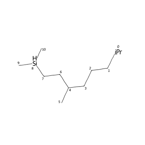 CC(C)CCCC(C)CC[SiH](C)C